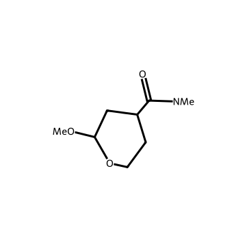 CNC(=O)C1CCOC(OC)C1